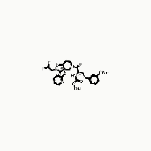 COc1cccc(OC[C@@H](NC(=O)OC(C)(C)C)C(=O)N2CCC3=NN(CC(F)F)C(=O)[C@]3(Cc3ccccn3)C2)c1